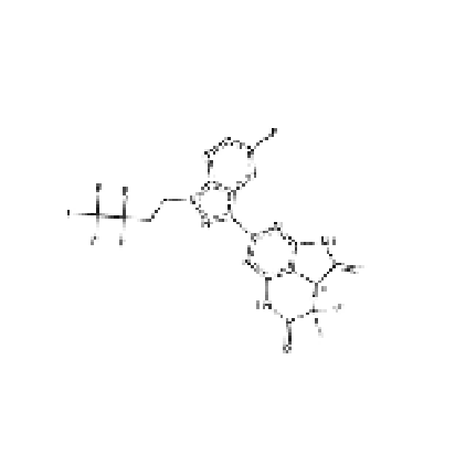 C[C@]12C(=O)Nc3nc(-c4nn(CCC(F)(F)C(F)(F)F)c5ncc(F)cc45)nc(c31)NC(=O)C2(F)F